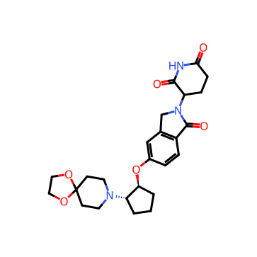 O=C1CCC(N2Cc3cc(O[C@H]4CCC[C@@H]4N4CCC5(CC4)OCCO5)ccc3C2=O)C(=O)N1